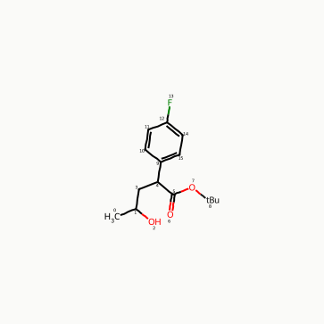 CC(O)CC(C(=O)OC(C)(C)C)c1ccc(F)cc1